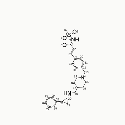 CS(=O)(=O)NC(=O)/C=C/c1ccc(CN2CCC(CN[C@@H]3C[C@H]3c3ccccc3)CC2)cc1